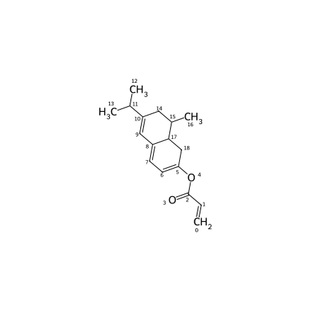 C=CC(=O)OC1=CC=C2C=C(C(C)C)CC(C)C2C1